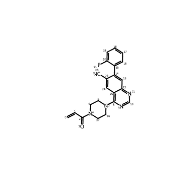 C=CC(=O)N1CCN(c2ncnc3cc(-c4ccccc4F)c(C#N)cc23)CC1